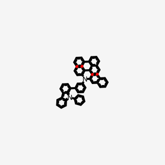 c1ccc(-c2cccc3cccc(-c4ccccc4N(c4cccc(-c5cccc6c7ccccc7n(-c7ccccc7)c56)c4)c4ccc5ccccc5c4)c23)cc1